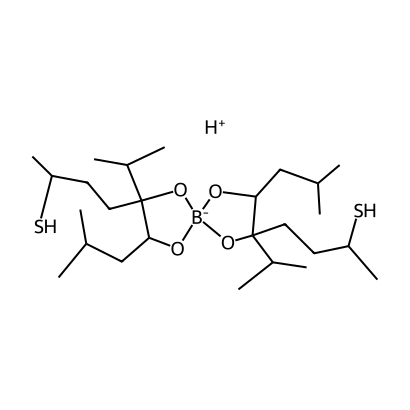 CC(C)CC1O[B-]2(OC(CC(C)C)C(CCC(C)S)(C(C)C)O2)OC1(CCC(C)S)C(C)C.[H+]